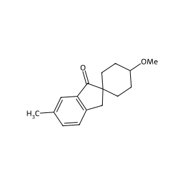 COC1CCC2(CC1)Cc1ccc(C)cc1C2=O